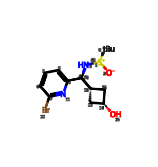 CC(C)(C)[S@@+]([O-])N[C@H](c1cccc(Br)n1)[C@H]1C[C@@H](O)C1